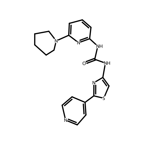 O=C(Nc1cccc(N2CCCCC2)n1)Nc1csc(-c2ccncc2)n1